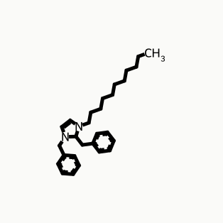 CCCCCCCCCCCN1C=CN(Cc2ccccc2)C1Cc1ccccc1